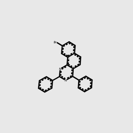 Brc1ccc2ccc3c(-c4ccccc4)nc(-c4ccccc4)nc3c2c1